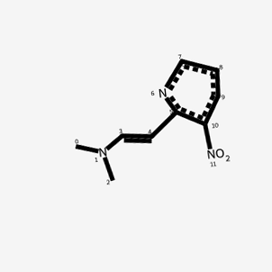 CN(C)C=Cc1ncccc1[N+](=O)[O-]